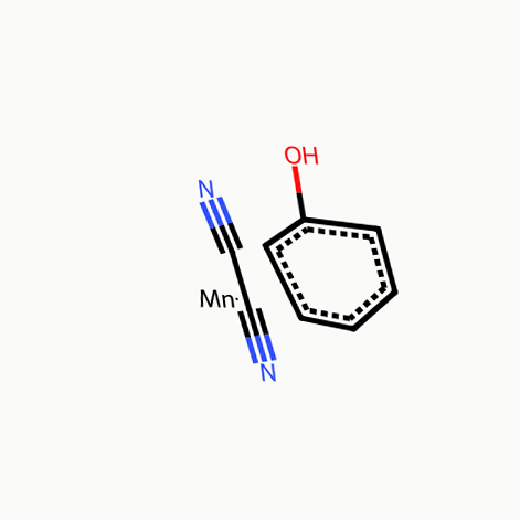 N#CC#N.Oc1ccccc1.[Mn]